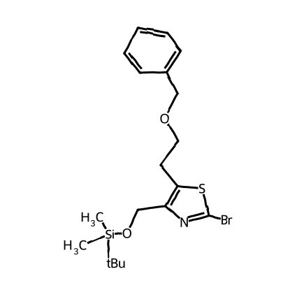 CC(C)(C)[Si](C)(C)OCc1nc(Br)sc1CCOCc1ccccc1